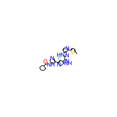 Cc1ccc(-c2nccc3[nH]c(-c4n[nH]c5cnc(-c6cncc(NC(=O)C7CCCCC7)c6)c(F)c45)nc23)s1